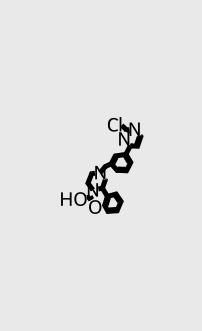 O=C(O)N1CCN(Cc2cccc(-c3ccnc(Cl)n3)c2)CC1c1ccccc1